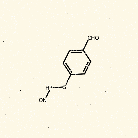 O=Cc1ccc(SPN=O)cc1